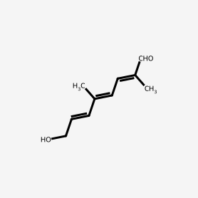 C\C(C=O)=C/C=C(C)/C=C/CO